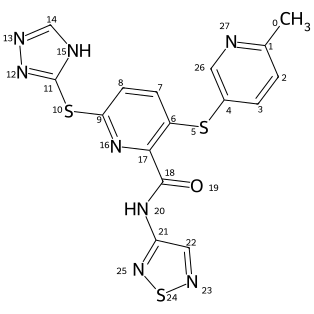 Cc1ccc(Sc2ccc(Sc3nnc[nH]3)nc2C(=O)Nc2cnsn2)cn1